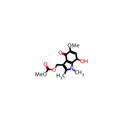 COC(=O)OCc1c2c(n(C)c1C)C(O)C=C(OC)C2=O